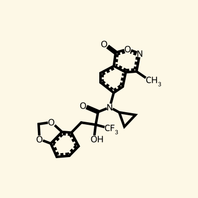 Cc1noc(=O)c2ccc(N(C(=O)C(O)(Cc3cccc4c3OCO4)C(F)(F)F)C3CC3)cc12